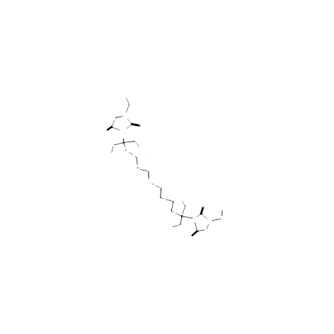 CCN1CC(=O)N(C(CC)(CC)CCCCOCCCCC(CC)(CC)N2C(=O)CN(CC)C2=O)C1=O